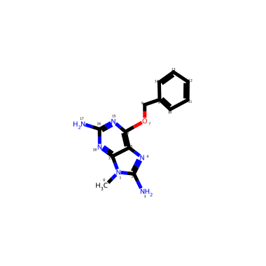 Cn1c(N)nc2c(OCc3ccccc3)nc(N)nc21